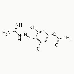 CC(=O)Oc1cc(Cl)c(/C=N/NC(=N)N)c(Cl)c1